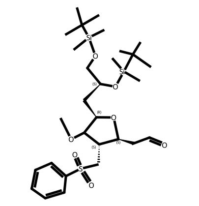 COC1[C@@H](CS(=O)(=O)c2ccccc2)[C@H](CC=O)O[C@@H]1C[C@@H](CO[Si](C)(C)C(C)(C)C)O[Si](C)(C)C(C)(C)C